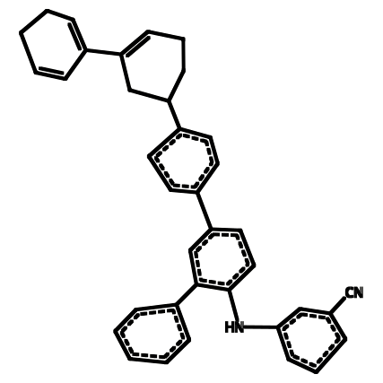 N#Cc1cccc(Nc2ccc(-c3ccc(C4CCC=C(C5=CCCC=C5)C4)cc3)cc2-c2ccccc2)c1